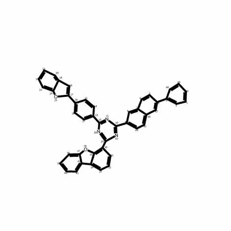 c1ccc(-c2ccc3cc(-c4nc(-c5ccc(-c6cc7ccccc7o6)cc5)nc(-c5cccc6c5oc5ccccc56)n4)ccc3c2)cc1